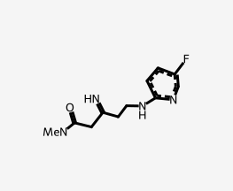 CNC(=O)CC(=N)CCNc1ccc(F)cn1